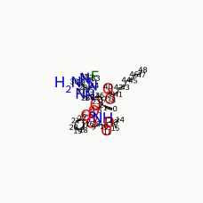 C#CC1(CO[P@@](=O)(NC(C)C(=O)OC(C)C)Oc2ccccc2)OC(n2cnc3c(N)nc(F)nc32)CC1OC(=O)CCCCCCCC